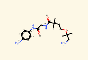 CC(C)(CN)OCCC(C)(C)C(=O)NCC(=O)Nc1ccc(N)cc1